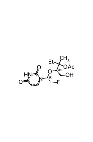 CCC(C)(OC(C)=O)[C@@H](CO)O[C@H](CF)n1ccc(=O)[nH]c1=O